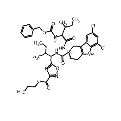 CCCOC(=O)c1noc(C(NC(=O)[C@]2(NC(=O)C(NC(=O)OCc3ccccc3)C(C)CC)CCc3[nH]c4c(Cl)cc(Cl)cc4c3C2)C(C)CC)n1